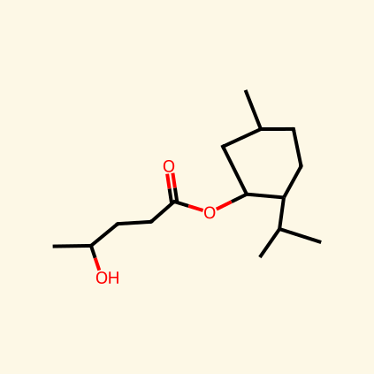 CC(O)CCC(=O)OC1CC(C)CCC1C(C)C